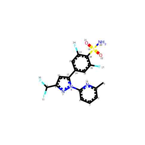 Cc1cccc(-n2nc(C(F)F)cc2-c2cc(F)c(S(N)(=O)=O)c(F)c2)n1